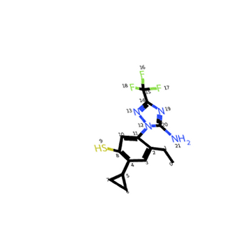 CCc1cc(C2CC2)c(S)cc1-n1nc(C(F)(F)F)nc1N